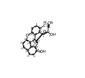 C#C/C(O)=C\c1c(C)ccc2c1C13OC(=O)C=C1c1c(O)ccc4ccc(c3c14)O2